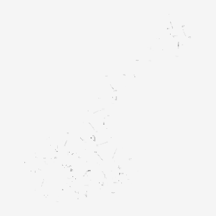 CC[C@H](C)[C@@H]([C@@H](CC(=O)N1CCC[C@H]1[C@H](OC)[C@@H](C)C(=O)N[C@@H](Cc1ccccc1)C(=O)Nc1ccc(CNC(=O)CCOCCOCCN2C(=O)C=CC2=O)cc1)OC)N(C)C(=O)[C@@H](NC(=O)[C@@H]1C2CC[C@@H](C2)N1C)C(C)C